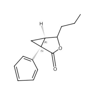 CCCC1OC(=O)[C@@]2(c3ccccc3)C[C@@H]12